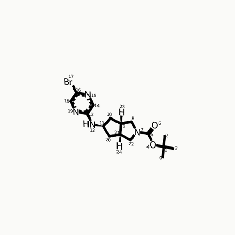 CC(C)(C)OC(=O)N1C[C@H]2C[C@H](Nc3cnc(Br)cn3)C[C@H]2C1